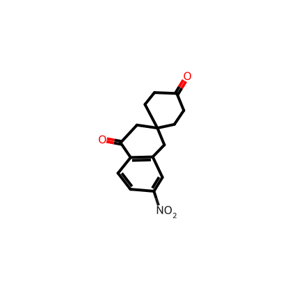 O=C1CCC2(CC1)CC(=O)c1ccc([N+](=O)[O-])cc1C2